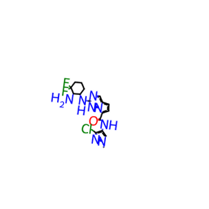 Cn1cc(NC(=O)c2ccc3cnc(N[C@@H]4CCCC(F)(F)[C@@H]4N)nn23)c(Cl)n1